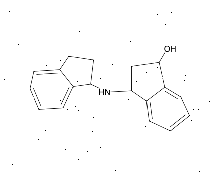 OC1CC(NC2CCc3ccccc32)c2ccccc21